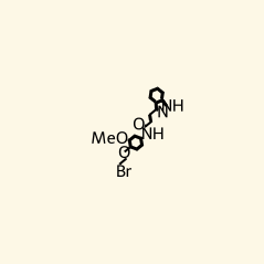 COc1cc(NC(=O)C=Cc2n[nH]c3ccccc23)ccc1OCCBr